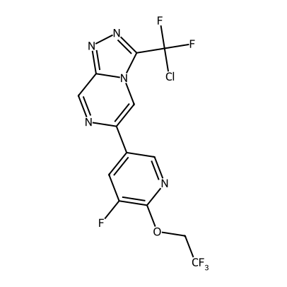 Fc1cc(-c2cn3c(C(F)(F)Cl)nnc3cn2)cnc1OCC(F)(F)F